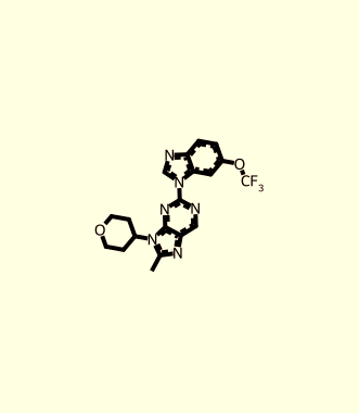 Cc1nc2cnc(-n3cnc4ccc(OC(F)(F)F)cc43)nc2n1C1CCOCC1